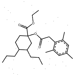 CCCC1CCC(OC(=O)Cc2c(C)cc(C)cc2C)(C(=O)OCC)CC1CCC